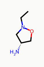 CCN1C[C@@H](N)CO1